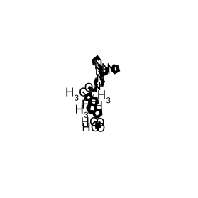 C[C@@H]1C[C@H]2[C@@H]3CC=C4C[C@@H](OP(=O)(O)O)CC[C@]4(C)[C@H]3CC[C@]2(C)[C@H]1C(=O)CN1CCN(c2cc(N3CCCC3)nc(N3CCCC3)n2)CC1